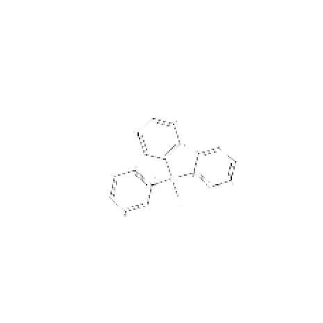 CC[P+](c1ccccc1)(c1ccccc1)c1ccccc1